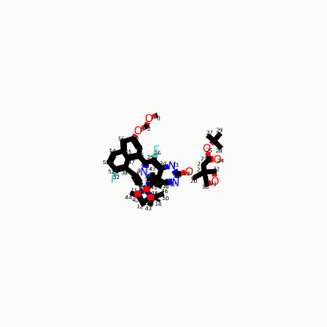 COCOc1cc(-c2nc(N3CC[C@@H]3C)c3cnc(OCC4(CC(=O)OC(C)(C)C)COC4)nc3c2F)c2c(C#C[Si](C(C)C)(C(C)C)C(C)C)c(F)ccc2c1